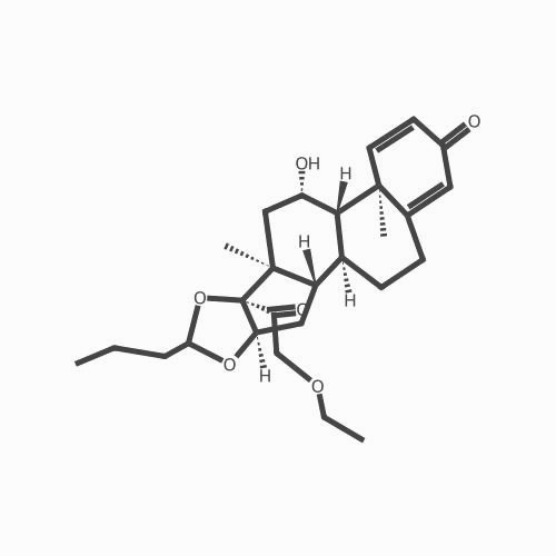 CCCC1O[C@@H]2C[C@H]3[C@@H]4CCC5=CC(=O)C=C[C@]5(C)[C@H]4[C@@H](O)C[C@]3(C)[C@]2(C(=O)COCC)O1